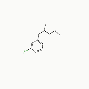 [CH2]CCC(C)Cc1cccc(F)c1